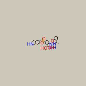 CC(NC(=O)Nc1ccc(S(=O)(=O)Cc2ccc3c(c2)CCNC3)cc1C(O)O)c1ccccc1